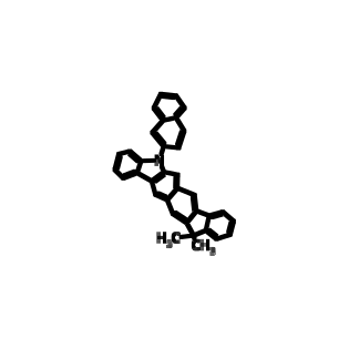 CC1(C)c2ccccc2-c2cc3cc4c(cc3cc21)c1ccccc1n4-c1ccc2ccccc2c1